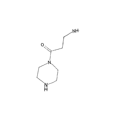 [NH]CCC(=O)N1CCNCC1